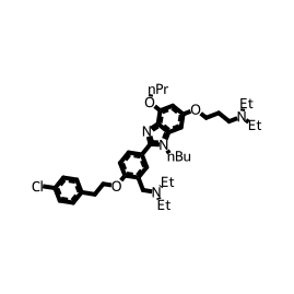 [CH2]CCOc1cc(OCCCN(CC)CC)cc2c1nc(-c1ccc(OCCc3ccc(Cl)cc3)c(CN(CC)CC)c1)n2CCCC